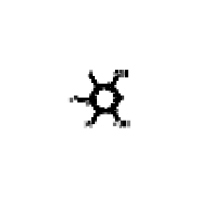 Cc1c(O)cc(O)c(C(C)C)c1F